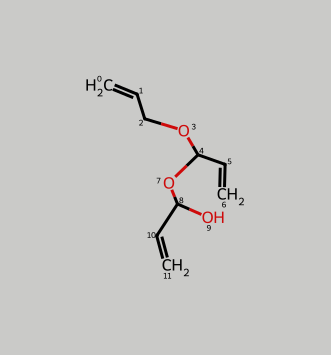 C=CCOC(C=C)OC(O)C=C